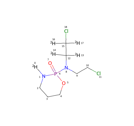 [2H]N1CCCOP1(=O)N(CCCl)C([2H])([2H])C([2H])([2H])Cl